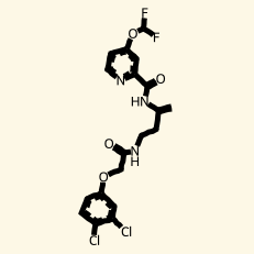 C=C(CCNC(=O)COc1ccc(Cl)c(Cl)c1)NC(=O)c1cc(OC(F)F)ccn1